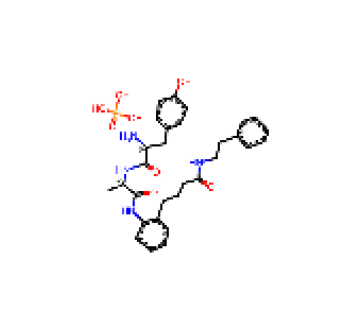 C[C@@H](NC(=O)[C@@H](N)Cc1ccc(O)cc1)C(=O)Nc1ccccc1CCCC(=O)NCCc1ccccc1.O=P(O)(O)O